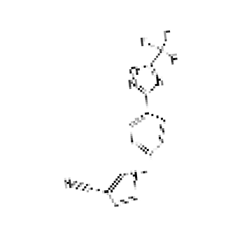 N#Cc1ccn(Cc2ccc(-c3noc(C(F)(F)F)n3)cc2)c1